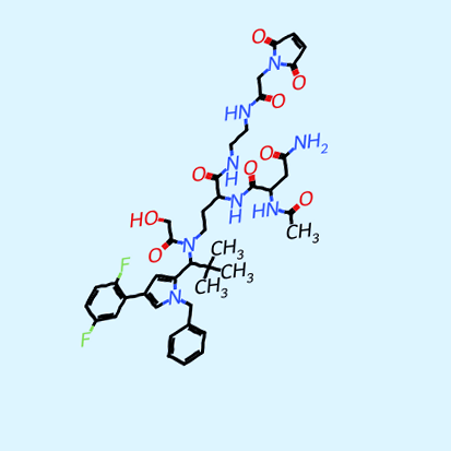 CC(=O)NC(CC(N)=O)C(=O)NC(CCN(C(=O)CO)C(c1cc(-c2cc(F)ccc2F)cn1Cc1ccccc1)C(C)(C)C)C(=O)NCCNC(=O)CN1C(=O)C=CC1=O